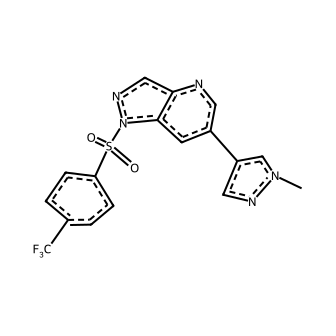 Cn1cc(-c2cnc3cnn(S(=O)(=O)c4ccc(C(F)(F)F)cc4)c3c2)cn1